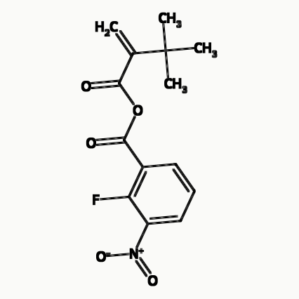 C=C(C(=O)OC(=O)c1cccc([N+](=O)[O-])c1F)C(C)(C)C